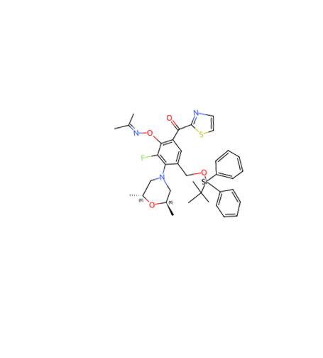 CC(C)=NOc1c(C(=O)c2nccs2)cc(CO[Si](c2ccccc2)(c2ccccc2)C(C)(C)C)c(N2C[C@@H](C)O[C@H](C)C2)c1F